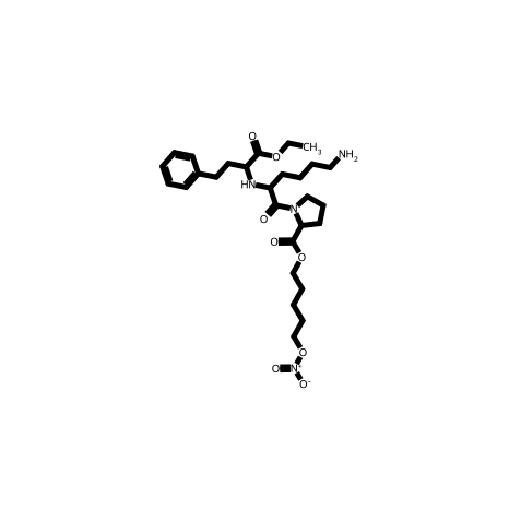 CCOC(=O)C(CCc1ccccc1)NC(CCCCN)C(=O)N1CCCC1C(=O)OCCCCCO[N+](=O)[O-]